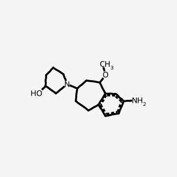 COC1CC(N2CCCC(O)C2)CCc2ccc(N)cc21